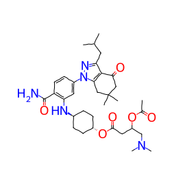 CC(=O)OC(CC(=O)O[C@H]1CC[C@H](Nc2cc(-n3nc(CC(C)C)c4c3CC(C)(C)CC4=O)ccc2C(N)=O)CC1)CN(C)C